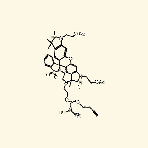 C#CCCOP(OCCOCCN1C2(c3cc4c(cc3Oc3cc5c(cc32)C(C)(C)[C@@H](C)N5CCOC(C)=O)N(CCOC(C)=O)[C@H](C)C4(C)C)c2ccccc2S1(=O)=O)N(C(C)C)C(C)C